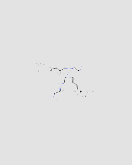 CO[Si](CCCN(CCN)N(CCC[Si](OC)(OC)OC)CCNCCN)(OC)OC